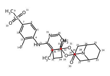 Cc1c(Nc2ccc(S(C)(=O)=O)cc2F)ncnc1OC1CC2CCCC(C1)N2C(=O)OC1(C)CCC1